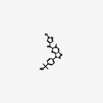 CCn1cc(NC2N=c3c(nnn3-c3ccc(C(C)(C)O)cc3)=CN2C)cn1